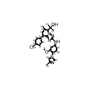 COc1cc(Nc2nc3c(-c4ccc(Cl)cc4)cc(C)c(C(C)(C)O)n3n2)ccc1-n1cnc(C)c1